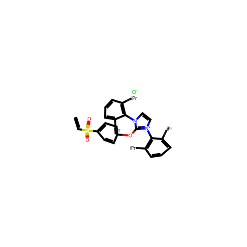 C=CS(=O)(=O)c1ccc(Oc2n(-c3c(C(C)C)cccc3C(C)C)cc[n+]2-c2c(C(C)C)cccc2C(C)C)cc1.[Cl-]